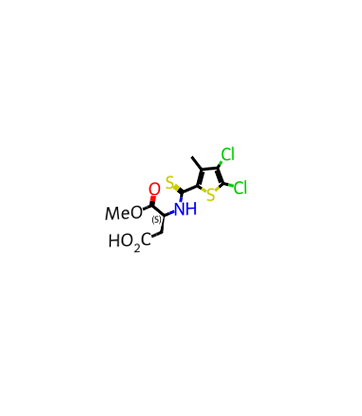 COC(=O)[C@H](CC(=O)O)NC(=S)c1sc(Cl)c(Cl)c1C